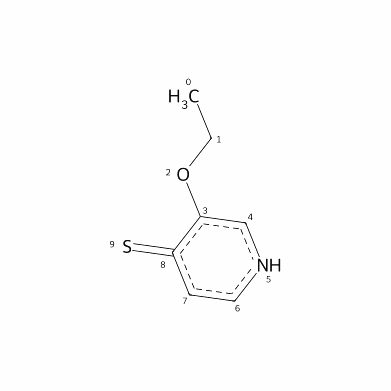 CCOc1c[nH]ccc1=S